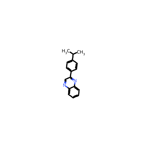 CC(C)c1ccc(-c2cnc3ccccc3n2)cc1